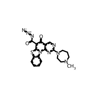 CN1CCCN(c2ncc3c(=O)c(C(=O)N=[N+]=[N-])c4sc5ccccc5n4c3n2)CC1